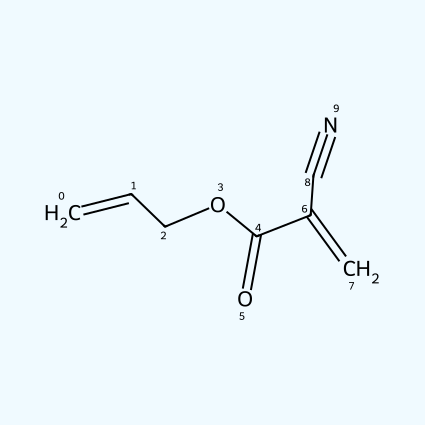 C=CCOC(=O)C(=C)C#N